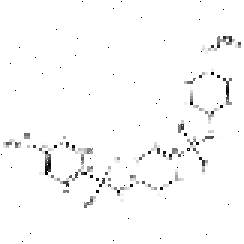 C=CC1CCC(OC(F)(F)C2=CCC(OC(F)(F)c3ncc(CCCCC)cn3)CC2)CC1